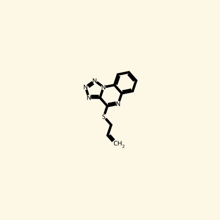 C=CCSc1nc2ccccc2n2nnnc12